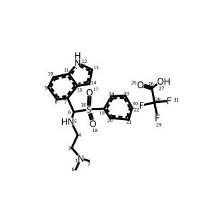 CN(C)CCNC(c1cccc2[nH]ccc12)S(=O)(=O)c1ccccc1.O=C(O)C(F)(F)F